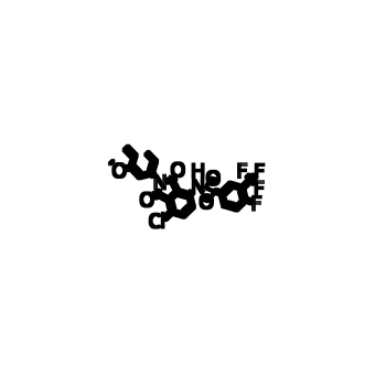 C=C/C(=C\C(=C/C)N1C(=O)c2c(Cl)ccc(NS(=O)(=O)c3ccc(F)c(C(F)(F)F)c3)c2C1=O)OC